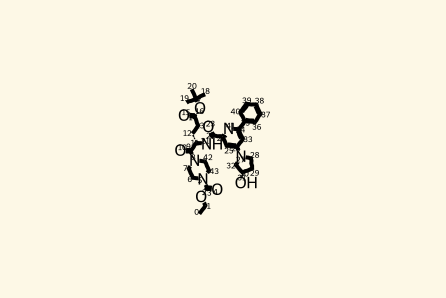 CCOC(=O)N1CCN(C(=O)[C@H](CCC(=O)OC(C)(C)C)NC(=O)c2cc(N3CC[C@H](O)C3)cc(-c3ccccc3)n2)CC1